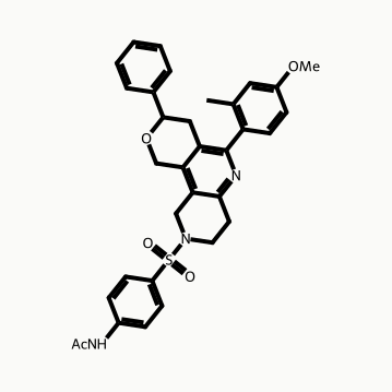 COc1ccc(-c2nc3c(c4c2CC(c2ccccc2)OC4)CN(S(=O)(=O)c2ccc(NC(C)=O)cc2)CC3)c(C)c1